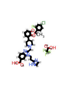 CC1(c2ccc(Cl)cc2F)Oc2cccc(C3CCN(Cc4nc5ccc(C(=O)O)cc5n4CCc4ncc[nH]4)CC3)c2O1.O=C(O)C(F)(F)F